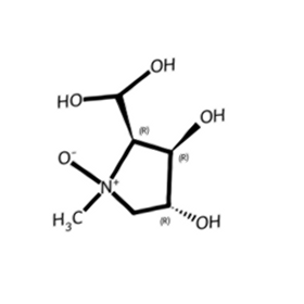 C[N+]1([O-])C[C@@H](O)[C@H](O)[C@@H]1C(O)O